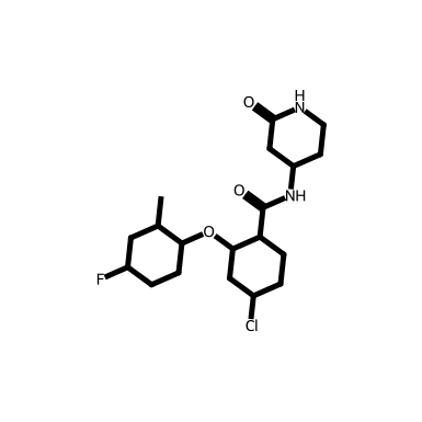 CC1CC(F)CCC1OC1CC(Cl)CCC1C(=O)NC1CCNC(=O)C1